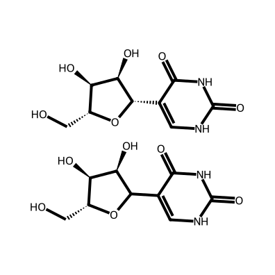 O=c1[nH]cc(C2O[C@H](CO)[C@@H](O)[C@H]2O)c(=O)[nH]1.O=c1[nH]cc([C@@H]2O[C@H](CO)[C@@H](O)[C@H]2O)c(=O)[nH]1